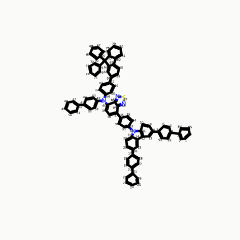 c1ccc(-c2ccc(-c3ccc4c(c3)c3cc(-c5ccc(-c6ccccc6)cc5)ccc3n4-c3ccc(-c4ccc(N(c5ccc(-c6ccccc6)cc5)c5ccc(-c6ccc7c(c6)C(c6ccccc6)(c6ccccc6)c6ccccc6-7)cc5)c5nsnc45)cc3)cc2)cc1